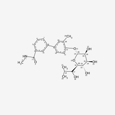 CNC(=O)c1cccc(-c2ccc(O[C@H]3O[C@H](C(O)C(C)C)[C@@H](O)[C@H](O)[C@@H]3O)c(C)c2)c1